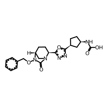 O=C(O)N[C@@H]1CC[C@H](c2nnc([C@@H]3CC[C@@H]4CN3C(=O)N4OCc3ccccc3)o2)C1